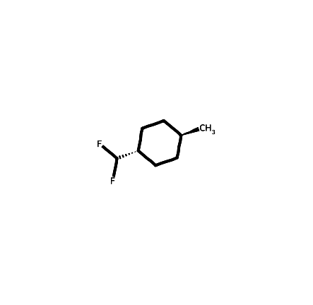 C[C@H]1CC[C@H](C(F)F)CC1